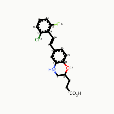 O=C(O)CCC1CNc2cc(C=Cc3c(F)cccc3Cl)ccc2O1